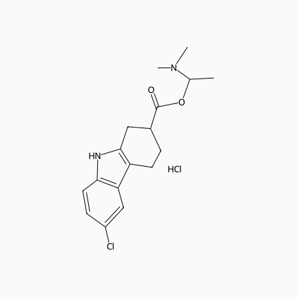 CC(OC(=O)C1CCc2c([nH]c3ccc(Cl)cc23)C1)N(C)C.Cl